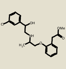 COC(=O)Cc1ccccc1OCC(C)NCC(O)c1cccc(Cl)c1